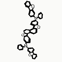 c1ccc(N(c2ccc3c(c2)oc2ccccc23)c2ccc3c(c2)oc2ccc4c(ccc5oc6cc(N(c7ccccc7)c7ccc8c(c7)oc7ccccc78)ccc6c54)c23)cc1